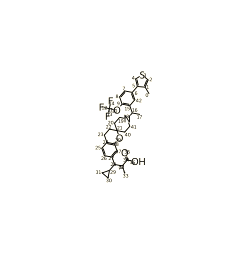 Cc1cscc1-c1ccc(OC(F)(F)F)c(C(C)N2CCC3(CCc4ccc(C(C5CC5)[C@H](C)C(=O)O)cc4O3)CC2)c1